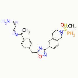 C=C(/N=C\C=C/N)c1ccc(Cc2nc(-c3ccc4c(c3)CCN([SH](C)(=O)P)C4)no2)cc1